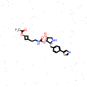 O=C(NCCC1CC(OC(=O)C(F)(F)F)C1)O[C@@H]1[C@@H](O)CN[C@@H]1Cc1ccc(-c2cncs2)cc1